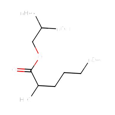 CCCCCCCCCCCCCC(C)C(=O)OCC(CCCCCC)CCCCCCCC